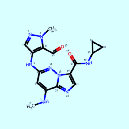 CNc1cc(Nc2cnn(C)c2C=O)nn2c(C(=O)NC3CC3)cnc12